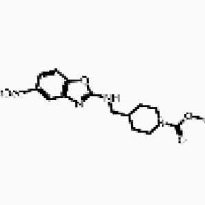 CCCCCCCCCCc1ccc2oc(NCC3CCN(C(=O)OC(C)(C)C)CC3)nc2c1